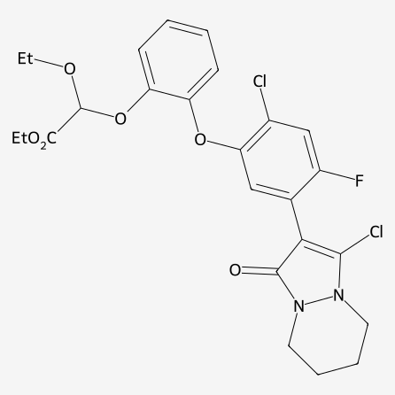 CCOC(=O)C(OCC)Oc1ccccc1Oc1cc(-c2c(Cl)n3n(c2=O)CCCC3)c(F)cc1Cl